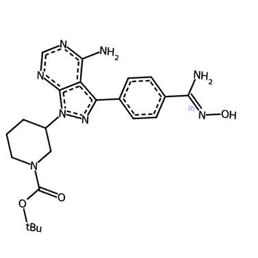 CC(C)(C)OC(=O)N1CCCC(n2nc(-c3ccc(/C(N)=N/O)cc3)c3c(N)ncnc32)C1